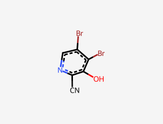 N#Cc1ncc(Br)c(Br)c1O